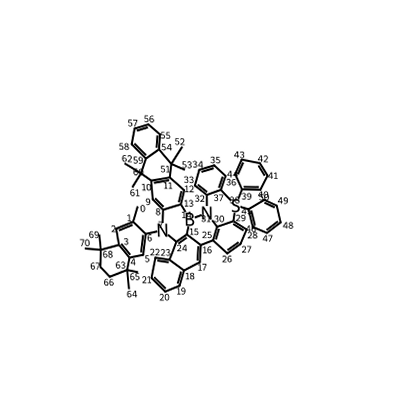 Cc1cc2c(cc1N1c3cc4c(cc3B3c5c(cc6ccccc6c51)-c1cccc5c1N3c1ccccc1S5(c1ccccc1)c1ccccc1)C(C)(C)c1ccccc1C4(C)C)C(C)(C)CCC2(C)C